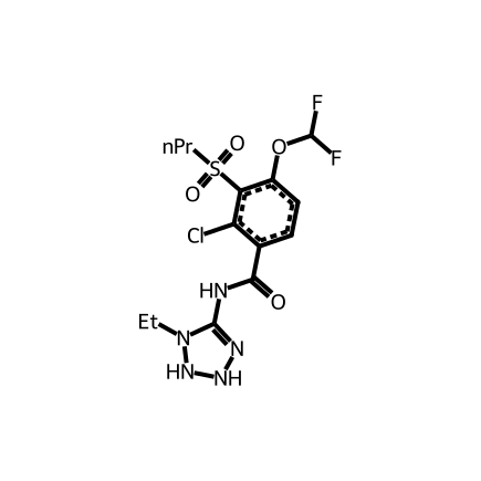 CCCS(=O)(=O)c1c(OC(F)F)ccc(C(=O)NC2=NNNN2CC)c1Cl